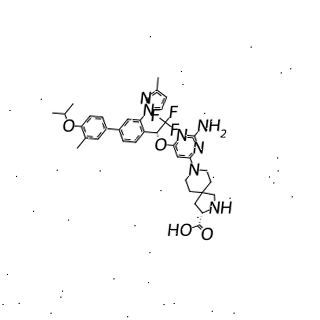 Cc1ccn(-c2cc(-c3ccc(OC(C)C)c(C)c3)ccc2[C@@H](Oc2cc(N3CCC4(CC3)CN[C@H](C(=O)O)C4)nc(N)n2)C(F)(F)F)n1